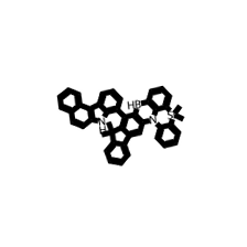 CC1(C)c2ccccc2-c2cc3c(c(-c4cccc5c4[nH]c4ccc6ccccc6c45)c21)Bc1cccc2c1N3c1ccccc1[Si]2(C)C